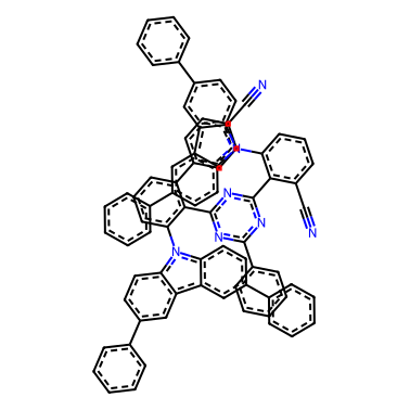 N#Cc1ccc(-c2cccc(-n3c4ccc(-c5ccccc5)cc4c4cc(-c5ccccc5)ccc43)c2-c2nc(-c3ccccc3)nc(-c3c(C#N)cccc3-n3c4ccc(-c5ccccc5)cc4c4cc(-c5ccccc5)ccc43)n2)cc1